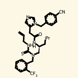 C=CCNC(=S)N(Cc1ccccc1C(F)(F)F)C[C@H](CC(C)C)NC(=O)Cc1cncn1Cc1ccc(C#N)cc1